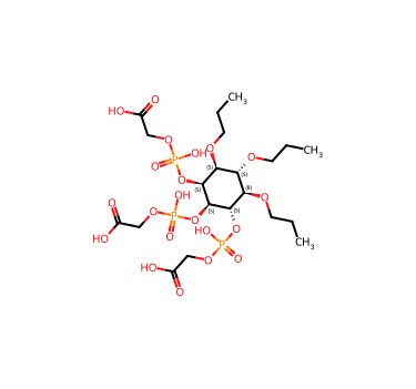 CCCO[C@@H]1[C@@H](OCCC)[C@H](OP(=O)(O)OCC(=O)O)[C@@H](OP(=O)(O)OCC(=O)O)[C@@H](OP(=O)(O)OCC(=O)O)[C@H]1OCCC